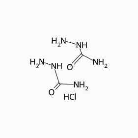 Cl.NNC(N)=O.NNC(N)=O